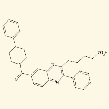 O=C(O)CCCCc1nc2cc(C(=O)N3CCC(c4ccccc4)CC3)ccc2nc1-c1ccccc1